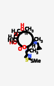 CSc1nc(/C=C(\C)[C@@H]2C[C@@H]3N(CC4CC4)[C@]3(C)CCC[C@H](C)[C@H](O)[C@@H](C)C(=O)C(C)(C)[C@@H](O)CC(=O)O2)cs1